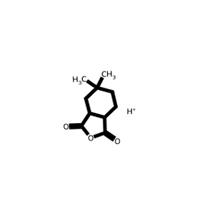 CC1(C)CCC2C(=O)OC(=O)C2C1.[H+]